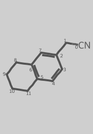 N#CCc1ccc2c(c1)CCCC2